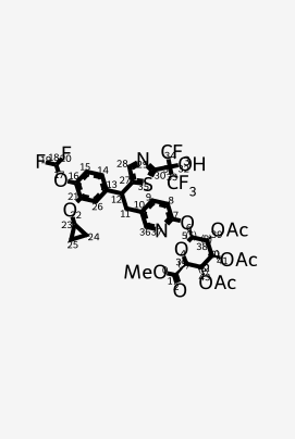 COC(=O)[C@H]1O[C@@H](Oc2ccc(CC(c3ccc(OC(F)F)c(OC4CC4)c3)c3cnc(C(O)(C(F)(F)F)C(F)(F)F)s3)cn2)[C@H](OC(C)=O)[C@@H](OC(C)=O)[C@@H]1OC(C)=O